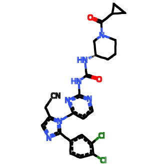 N#CCc1cnc(-c2ccc(Cl)c(Cl)c2)n1-c1ccnc(NC(=O)N[C@H]2CCCN(C(=O)C3CC3)C2)n1